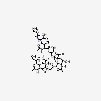 CC(=O)NC(C(O)C/C(=N/C(C)(C)OCN)C(=O)O)C(O)CC(CO)OC(C)(C)C1(C(=O)O)CC(O)C(NC(C)=O)C(CC(CO)OC(C)(C)C2(C(=O)O)CC(O)C(NC(C)=O)C(CC(O)CO)O2)O1